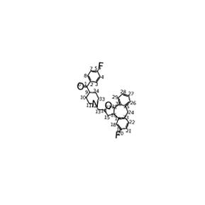 O=C(c1ccc(F)cc1)C1CCN(CC2CC3c4cc(F)ccc4Cc4ccccc4C3O2)CC1